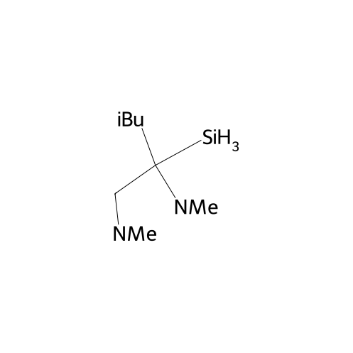 CCC(C)C([SiH3])(CNC)NC